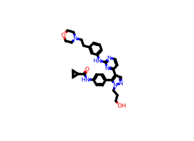 O=C(Nc1ccc(-c2c(-c3ccnc(Nc4cccc(CCN5CCOCC5)c4)n3)cnn2CCCO)cc1)C1CC1